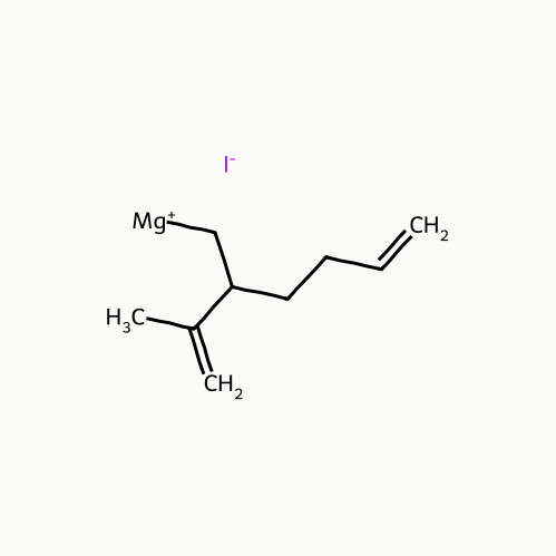 C=CCCC([CH2][Mg+])C(=C)C.[I-]